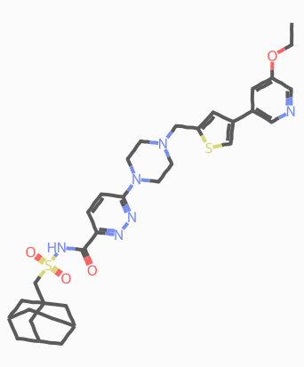 CCOc1cncc(-c2csc(CN3CCN(c4ccc(C(=O)NS(=O)(=O)CC56CC7CC(CC(C7)C5)C6)nn4)CC3)c2)c1